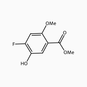 COC(=O)c1cc(O)c(F)cc1OC